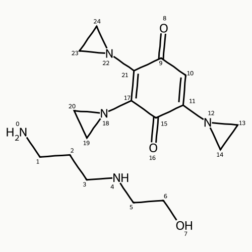 NCCCNCCO.O=C1C=C(N2CC2)C(=O)C(N2CC2)=C1N1CC1